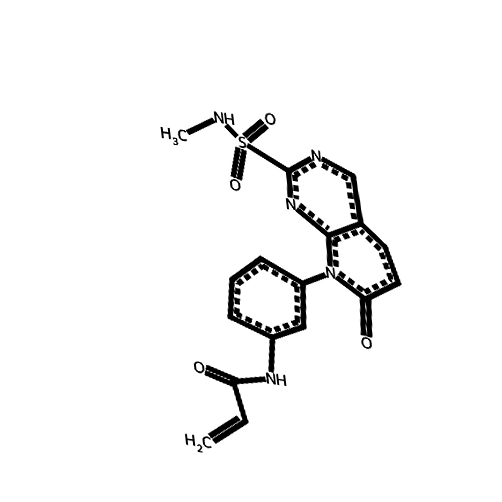 C=CC(=O)Nc1cccc(-n2c(=O)ccc3cnc(S(=O)(=O)NC)nc32)c1